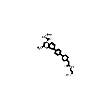 CCCCCCNC(=O)N1CC(C)Oc2cc(-c3ccc(C4CCC(CC(=O)NCCC(=O)O)CC4)cc3)ccc21